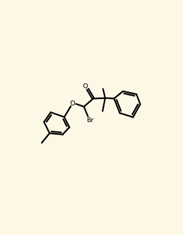 Cc1ccc(OC(Br)C(=O)C(C)(C)c2ccccc2)cc1